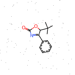 CC(C)(C)C1OC(=O)N=C1c1ccccc1